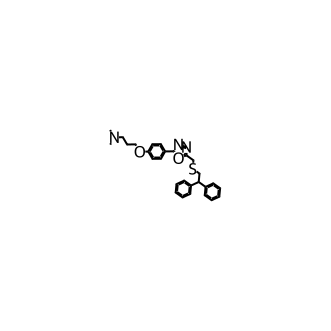 CN(C)CCCOc1ccc(-c2nnc(CSCC(c3ccccc3)c3ccccc3)o2)cc1